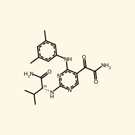 Cc1cc(C)cc(Nc2nc(N[C@@H](C(N)=O)C(C)C)ncc2C(=O)C(N)=O)c1